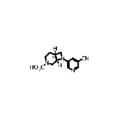 N#Cc1cncc(N2C[C@H]3CCN(C(=O)O)C[C@H]32)c1